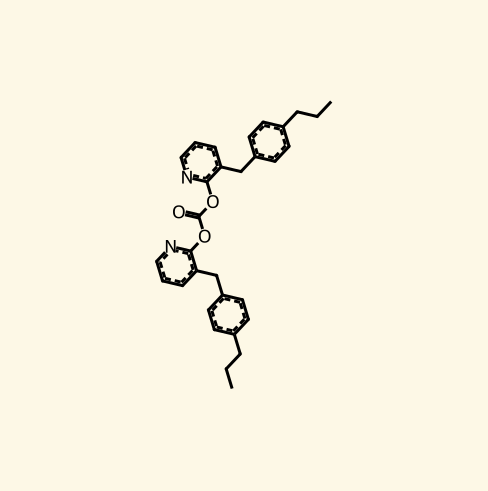 CCCc1ccc(Cc2cccnc2OC(=O)Oc2ncccc2Cc2ccc(CCC)cc2)cc1